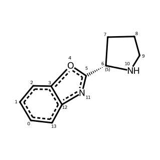 c1ccc2oc([C@@H]3CCCN3)nc2c1